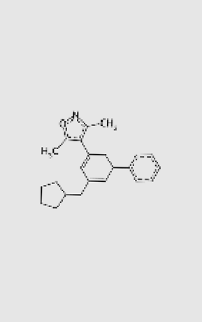 Cc1noc(C)c1C1=CC(CC2CCCC2)=CC(c2ccccc2)C1